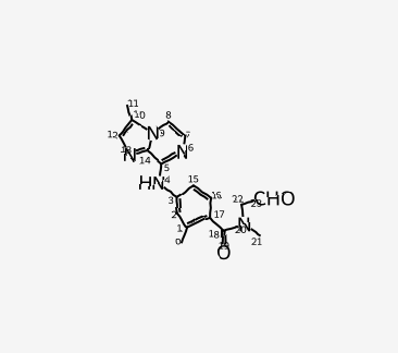 Cc1cc(Nc2nccn3c(C)cnc23)ccc1C(=O)N(C)CC=O